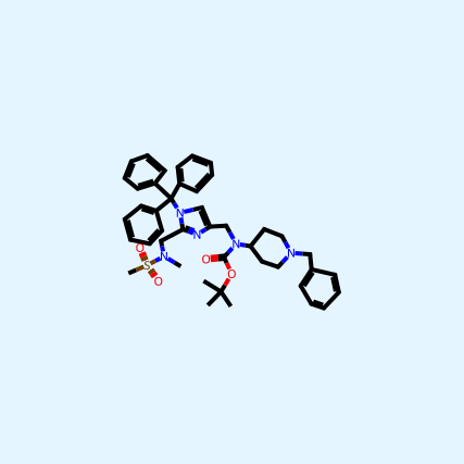 CN(Cc1nc(CN(C(=O)OC(C)(C)C)C2CCN(Cc3ccccc3)CC2)cn1C(c1ccccc1)(c1ccccc1)c1ccccc1)S(C)(=O)=O